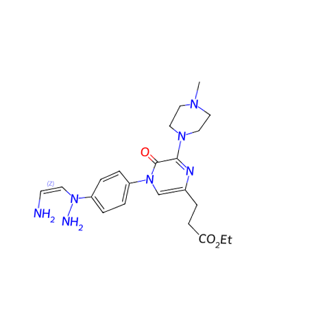 CCOC(=O)CCc1cn(-c2ccc(N(N)/C=C\N)cc2)c(=O)c(N2CCN(C)CC2)n1